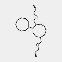 C=CCOCC1CCCCC(COCC=C)C(C2CCCCCCCC2)CC1